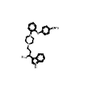 COc1ccc(Oc2ccccc2N2CCN(CCC(C)c3c[nH]c4ccccc34)CC2)cc1